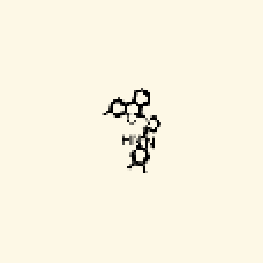 Cc1ccc(-c2ccccc2C(=O)N2CCC[C@@]2(C)c2nc3cc(C)c(C)cc3[nH]2)cc1